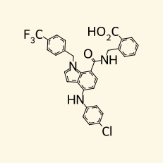 O=C(O)c1ccccc1CNC(=O)c1ccc(Nc2ccc(Cl)cc2)c2ccn(Cc3ccc(C(F)(F)F)cc3)c12